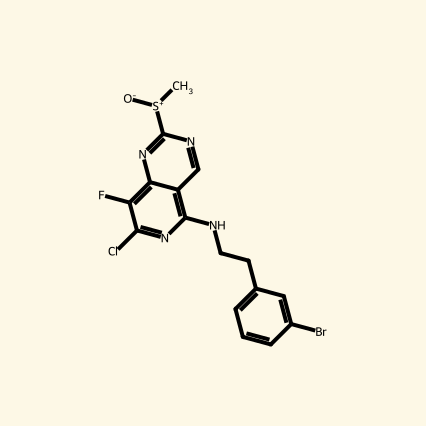 C[S+]([O-])c1ncc2c(NCCc3cccc(Br)c3)nc(Cl)c(F)c2n1